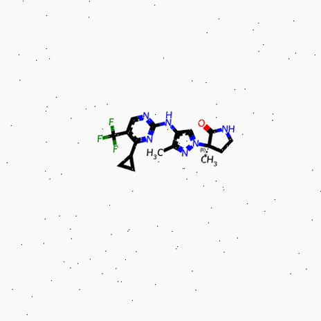 Cc1nn([C@]2(C)CCNC2=O)cc1Nc1ncc(C(F)(F)F)c(C2CC2)n1